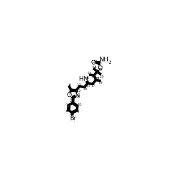 Cc1oc(-c2ccc(Br)cc2)nc1CCC(=N)CC(C)C(C)C(C)(C)OC(N)=O